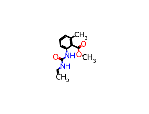 C=CNC(=O)Nc1cccc(C)c1C(=O)OC